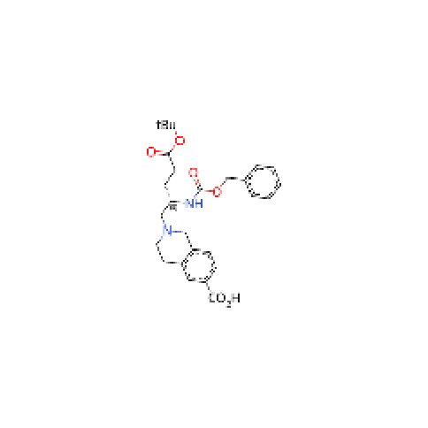 CC(C)(C)OC(=O)CC[C@@H](CN1CCc2cc(C(=O)O)ccc2C1)NC(=O)OCc1ccccc1